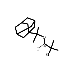 CCC(C)(C)[C@H](O)OC(C)(C)C12CC3CC(CC(C3)C1)C2